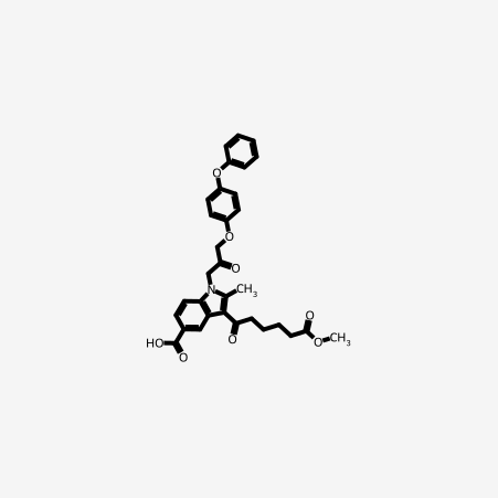 COC(=O)CCCCC(=O)c1c(C)n(CC(=O)COc2ccc(Oc3ccccc3)cc2)c2ccc(C(=O)O)cc12